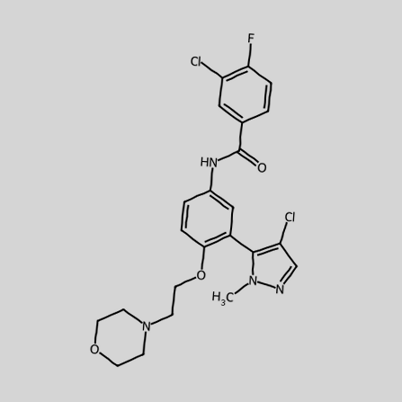 Cn1ncc(Cl)c1-c1cc(NC(=O)c2ccc(F)c(Cl)c2)ccc1OCCN1CCOCC1